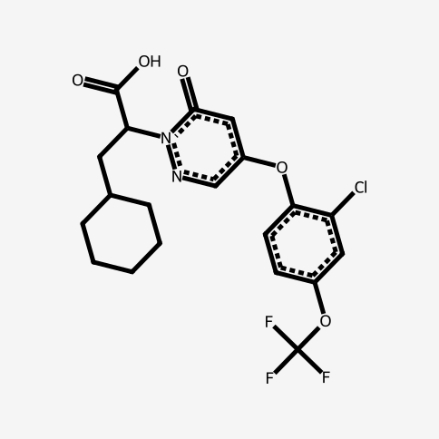 O=C(O)C(CC1CCCCC1)n1ncc(Oc2ccc(OC(F)(F)F)cc2Cl)cc1=O